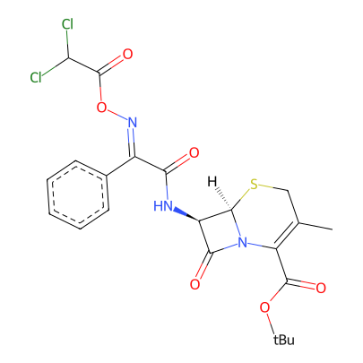 CC1=C(C(=O)OC(C)(C)C)N2C(=O)[C@@H](NC(=O)/C(=N/OC(=O)C(Cl)Cl)c3ccccc3)[C@H]2SC1